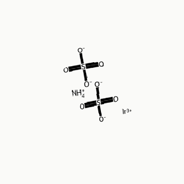 O=S(=O)([O-])[O-].O=S(=O)([O-])[O-].[Ir+3].[NH4+]